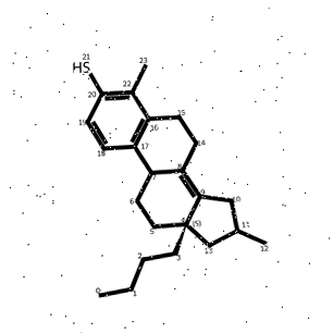 CCCC[C@@]12CCC3C(=C1CC(C)C2)CCc1c3ccc(S)c1C